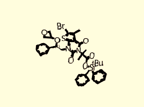 Cc1c(Br)sc2c1c(=O)n(C(C)(C)C(=O)O[Si](c1ccccc1)(c1ccccc1)C(C)(C)C)c(=O)n2C[C@H](OC1COC1)c1ccccc1